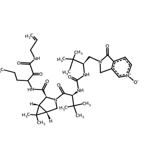 C=CCNC(=O)C(=O)C(CCC)NC(=O)[C@@H]1[C@@H]2[C@H](CN1C(=O)[C@@H](NC(=O)N[C@H](CN1Cc3c[n+]([O-])ccc3C1=O)C(C)(C)C)C(C)(C)C)C2(C)C